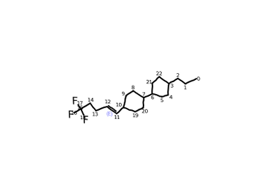 CCCC1CCC(C2CCC(/C=C/CCC(F)(F)F)CC2)CC1